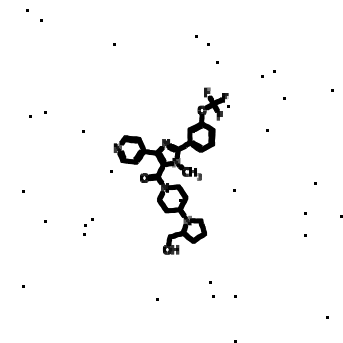 Cn1c(-c2cccc(OC(F)(F)F)c2)nc(-c2ccncc2)c1C(=O)N1CCC(N2CCCC2CO)CC1